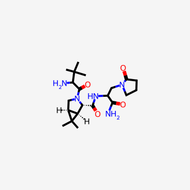 CC(C)(C)C(N)C(=O)N1C[C@H]2[C@@H]([C@H]1C(=O)NC(CN1CCCC1=O)C(N)=O)C2(C)C